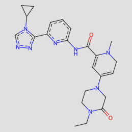 CCN1CCN(C2=CCN(C)C(C(=O)Nc3cccc(-c4nncn4C4CC4)n3)=C2)CC1=O